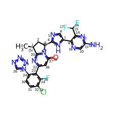 C[C@H]1C[C@@H](c2ncc(-c3ncc(N)nc3C(F)F)[nH]2)n2c1nc(-c1c(-n3cnnn3)ccc(Cl)c1F)cc2=O